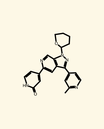 Cc1cc(-c2nn(C3CCCCO3)c3cnc(-c4cc[nH]c(=O)c4)cc23)ccn1